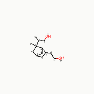 CC(CO)C1(C)CC2CC(CCO)C1C2